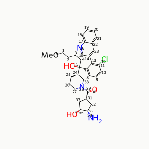 COCCCC[C@](O)(c1cccc(Cl)c1-c1cnc2ccccc2c1)[C@@H]1CCCN(C(=O)[C@H]2C[C@@H](N)[C@@H](O)C2)C1